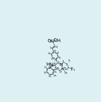 C[C@H](CF)CN1[C@H](c2ccc(C=CC(=O)O)cc2)c2[nH]c3ccccc3c2CC1(C)C